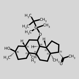 CC(=O)[C@H]1CC[C@H]2[C@@H]3C(O[Si](C)(C)C(C)(C)C)C[C@H]4C[C@](C)(O)CC[C@]4(C)[C@H]3CC[C@]12C